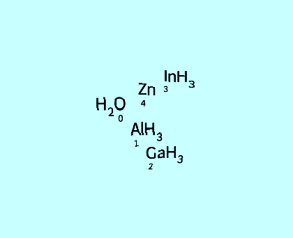 O.[AlH3].[GaH3].[InH3].[Zn]